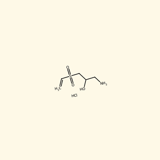 C=CS(=O)(=O)CC(O)CN.Cl